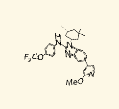 COc1cc(-c2ccc3c(c2)nc(Nc2ccc(OC(F)(F)F)cc2)n3[C@@H]2C[C@H](C)CC(C)(C)C2)ccn1